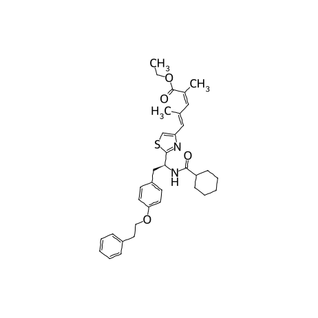 CCOC(=O)/C(C)=C\C(C)=C\c1csc([C@H](Cc2ccc(OCCc3ccccc3)cc2)NC(=O)C2CCCCC2)n1